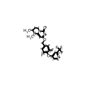 C[C@H]1CCn2c(cc(OCc3cc(F)c(Oc4ccnc(C(F)(F)F)c4)c(F)c3)nc2=O)N1C